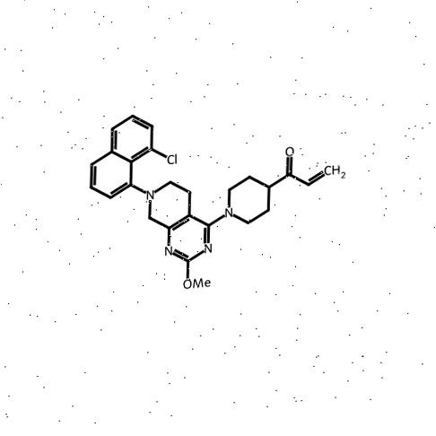 C=CC(=O)C1CCN(c2nc(OC)nc3c2CCN(c2cccc4cccc(Cl)c24)C3)CC1